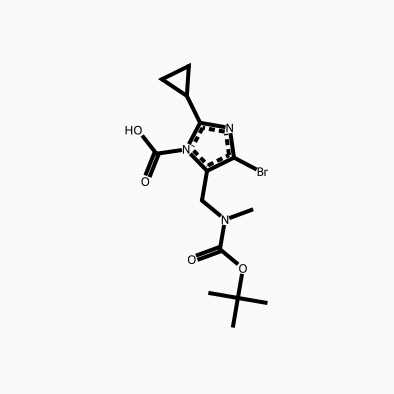 CN(Cc1c(Br)nc(C2CC2)n1C(=O)O)C(=O)OC(C)(C)C